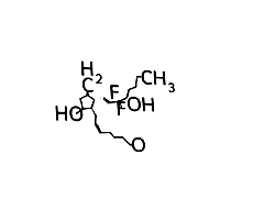 C=C1C[C@H](O)[C@H](C/C=C\CCCC=O)[C@H]1/C=C/C(F)(F)C(O)CCCC